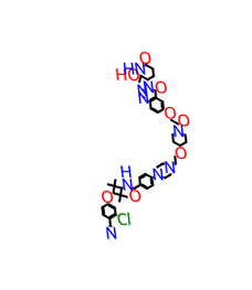 CC1(O)NC(=O)CCC1n1nnc2ccc(OCC(=O)N3CCC(OCCN4CCN(c5ccc(C(=O)NC6C(C)(C)C(Oc7ccc(C#N)c(Cl)c7)C6(C)C)cc5)CC4)CC3)cc2c1=O